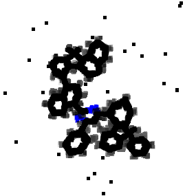 CC1(C)c2cccc(-c3ccc(-c4nc(-c5ccccc5)cc(-c5cccc6c5-c5ccccc5C6(C)c5ccccc5)n4)c4ccccc34)c2-c2ccc3ccccc3c21